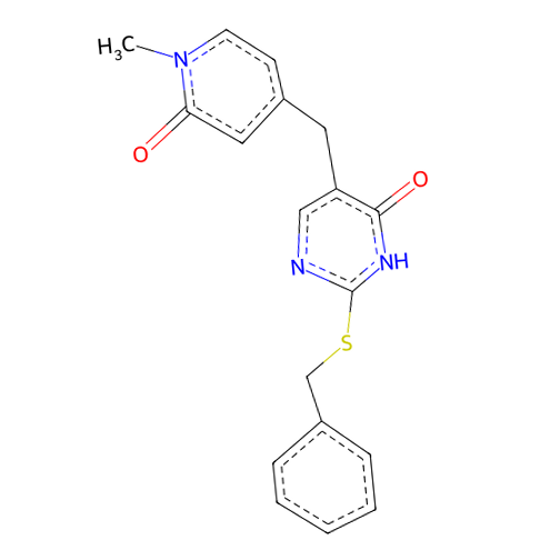 Cn1ccc(Cc2cnc(SCc3ccccc3)[nH]c2=O)cc1=O